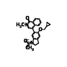 Cn1cc(-c2cc3c(cc2OCC2CC2)CCN3[S@@+](C)[O-])c2ccccc2c1=O